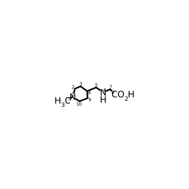 CN1CCC(CNCC(=O)O)CC1